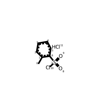 Cc1ccccc1S(=O)(=O)Cl.Cl